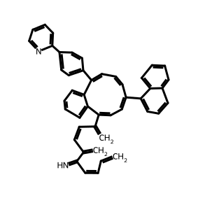 C=C/C=C\C(=N)C(=C)/C=C\C(=C)c1ccc(-c2cccc3ccccc23)cccc(-c2ccc(-c3ccccn3)cc2)c2ccccc12